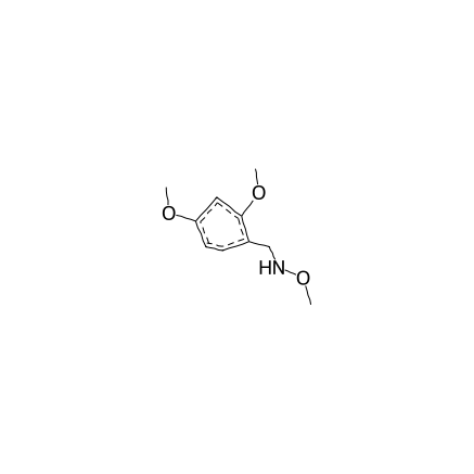 CONCc1ccc(OC)cc1OC